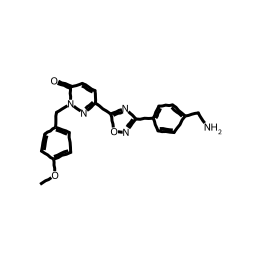 COc1ccc(Cn2nc(-c3nc(-c4ccc(CN)cc4)no3)ccc2=O)cc1